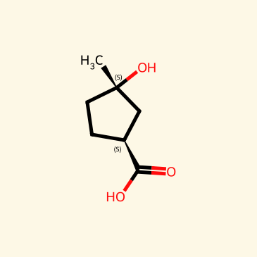 C[C@]1(O)CC[C@H](C(=O)O)C1